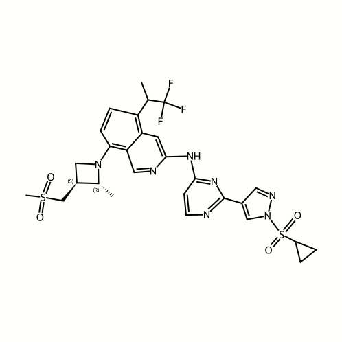 CC(c1ccc(N2C[C@H](CS(C)(=O)=O)[C@H]2C)c2cnc(Nc3ccnc(-c4cnn(S(=O)(=O)C5CC5)c4)n3)cc12)C(F)(F)F